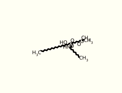 CCCCCCCCCCCCC/C=C/C(O)C(COC(=O)CCC(=O)COC(C)C)NC(=O)CCCCCCCC